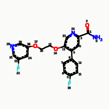 NC(=O)c1cc(-c2ccc(F)cc2)c(OCCOc2cncc(F)c2)cn1